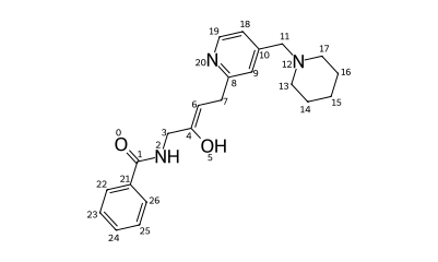 O=C(NC/C(O)=C/Cc1cc(CN2CCCCC2)ccn1)c1ccccc1